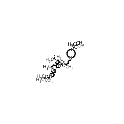 CC(C)N1CCC2(C1)C(CC(C)N1CCC3(CCN(C(=O)OC(C)(C)C)C3)C1)CCN2C(=O)OC(C)(C)CCCN1CCCCCN(C(=O)OC(C)(C)C)CCCC1